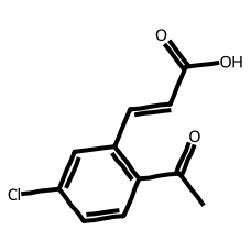 CC(=O)c1ccc(Cl)cc1C=CC(=O)O